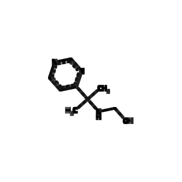 CC(C)(NCO)c1ccncn1